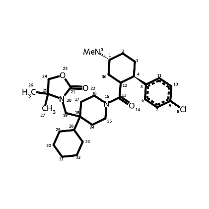 CN[C@@H]1CC[C@@H](c2ccc(Cl)cc2)C(C(=O)N2CCC(CN3C(=O)OCC3(C)C)(C3CCCCC3)CC2)C1